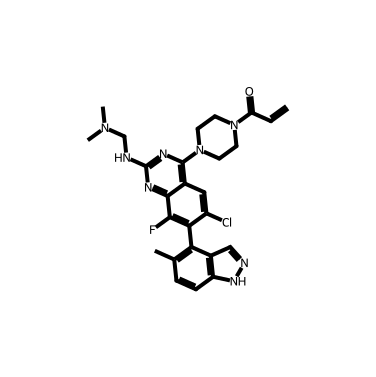 C=CC(=O)N1CCN(c2nc(NCN(C)C)nc3c(F)c(-c4c(C)ccc5[nH]ncc45)c(Cl)cc23)CC1